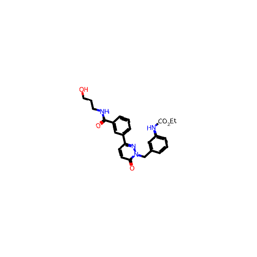 CCOC(=O)Nc1cccc(Cn2nc(-c3cccc(C(=O)NCCCO)c3)ccc2=O)c1